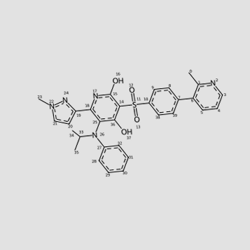 Cc1ncccc1-c1ccc(S(=O)(=O)c2c(O)nc(-c3ccn(C)n3)c(N(c3ccccc3)C(C)C)c2O)cc1